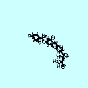 Cc1cc(OCc2ccc(F)cc2F)c(Br)c(=O)n1Cc1cnc(C(=O)NCC(O)CO)cn1